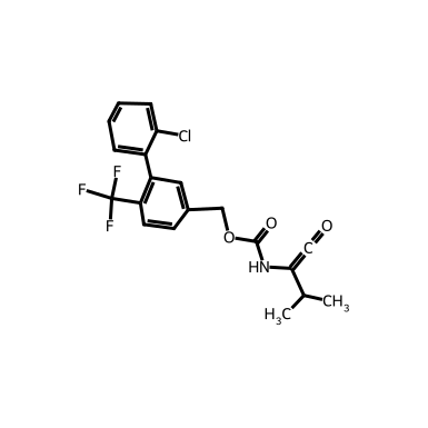 CC(C)C(=C=O)NC(=O)OCc1ccc(C(F)(F)F)c(-c2ccccc2Cl)c1